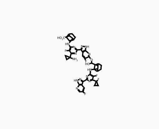 NC1(c2nc(-c3n[nH]c4nc(OC(O)C5C6CCC(CC6)C5Nc5nc(-c6n[nH]c7ncc(F)cc67)nc(C6(F)CC6)c5F)c(F)cc34)nc(NC3C4CCC(CC4)C3C(=O)O)c2F)CC1